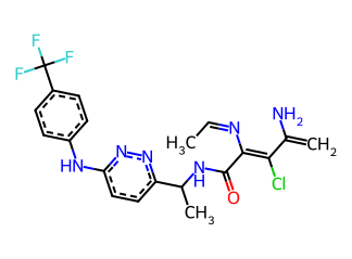 C=C(N)/C(Cl)=C(\N=C/C)C(=O)NC(C)c1ccc(Nc2ccc(C(F)(F)F)cc2)nn1